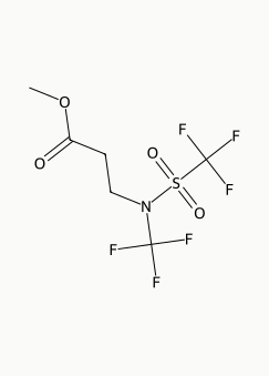 COC(=O)CCN(C(F)(F)F)S(=O)(=O)C(F)(F)F